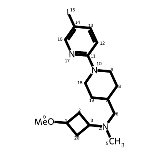 COC1CC(N(C)CC2CCN(c3ccc(I)cn3)CC2)C1